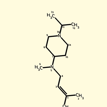 CC(C)=CCN(C)C1CCN(C(C)C)CC1